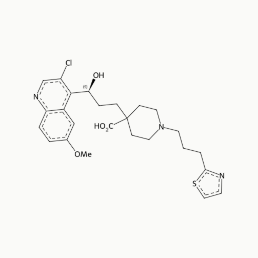 COc1ccc2ncc(Cl)c([C@@H](O)CCC3(C(=O)O)CCN(CCCc4nccs4)CC3)c2c1